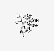 Cc1ncnc2c1ccn2[C@@H]1O[C@H](C(C)(O)c2ccc(Cl)c(Cl)c2)[C@@H](O)[C@H]1O